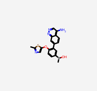 CB(O)c1ccc(Oc2cnc(C)s2)c(-c2ccc3c(N)cnnc3c2)c1